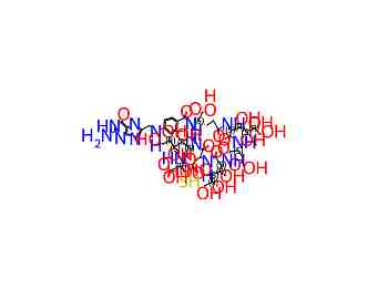 Nc1nc2ncc(CNc3ccc(C(=O)N[C@@H](CCC(=O)N[C@H](C(=O)N[C@@H](CC(=O)O)C(=O)N[C@H](C(=O)NC(CC(=O)O)C(=O)N[C@H](C(=O)N[C@@H](CS)C(=O)O)[C@@H](O)[C@H](O)[C@H](O)CO)[C@@H](O)[C@H](O)[C@H](O)CO)[C@@H](O)[C@H](O)[C@H](O)CO)C(=O)O)cc3)nc2c(=O)[nH]1